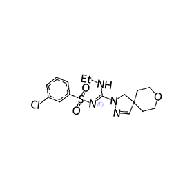 CCN/C(=N\S(=O)(=O)c1cccc(Cl)c1)N1CC2(C=N1)CCOCC2